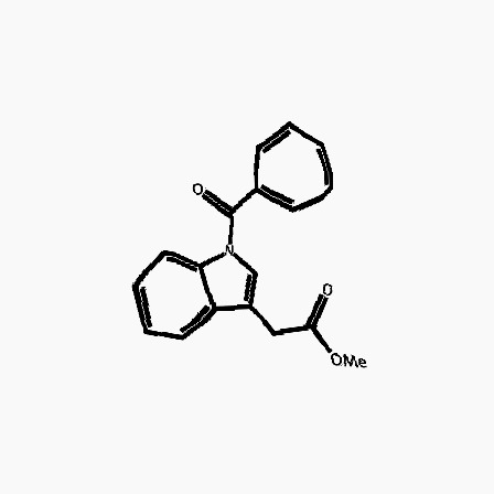 COC(=O)Cc1cn(C(=O)c2ccccc2)c2ccccc12